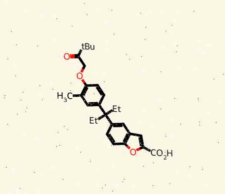 CCC(CC)(c1ccc(OCC(=O)C(C)(C)C)c(C)c1)c1ccc2oc(C(=O)O)cc2c1